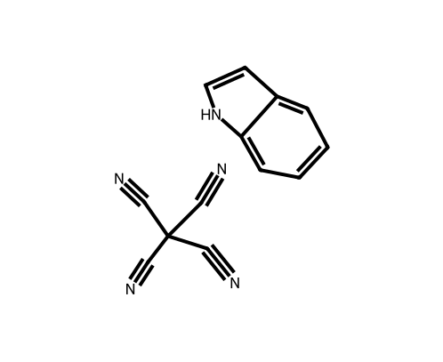 N#CC(C#N)(C#N)C#N.c1ccc2[nH]ccc2c1